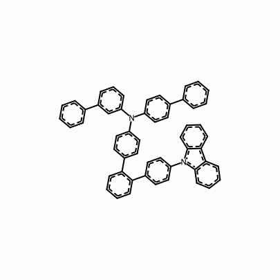 c1ccc(-c2ccc(N(c3ccc(-c4ccccc4-c4ccc(-n5c6ccccc6c6ccccc65)cc4)cc3)c3cccc(-c4ccccc4)c3)cc2)cc1